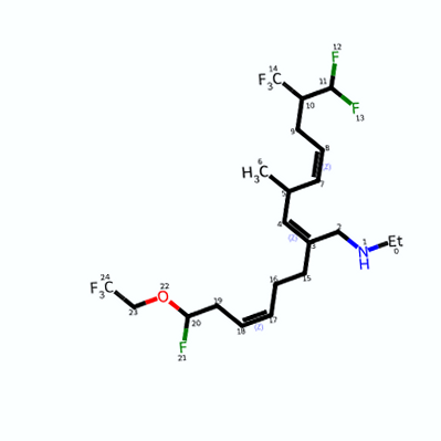 CCNC/C(=C\C(C)/C=C\CC(C(F)F)C(F)(F)F)CC/C=C\CC(F)OCC(F)(F)F